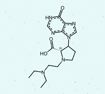 CCN(CC)CCN1CCC(n2cnc3c(=O)[nH]cnc32)[C@H]1C(=O)O